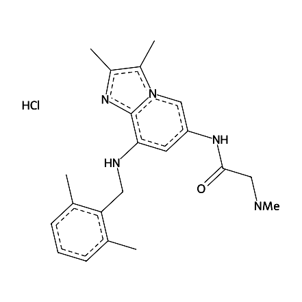 CNCC(=O)Nc1cc(NCc2c(C)cccc2C)c2nc(C)c(C)n2c1.Cl